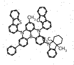 Cc1cc2c3c(c1)N(c1cccc4c1sc1ccccc14)c1cc(-c4ccccc4)ccc1B3c1ccc(N3c4ccccc4C4(C)CCCCC34C)cc1N2c1cccc2c1oc1ccccc12